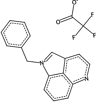 C1=[N+](Cc2ccccc2)c2cccc3nccc1c23.O=C([O-])C(F)(F)F